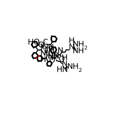 N=C(N)NCCC[C@H](NC(=O)[C@@H](N)CCCNC(=N)N)C(=O)N[C@H](C(=O)N[C@H](C(=O)N[C@H](C(=O)O)C(c1ccccc1)c1ccccc1)C(c1ccccc1)c1ccccc1)C(c1ccccc1)c1ccccc1